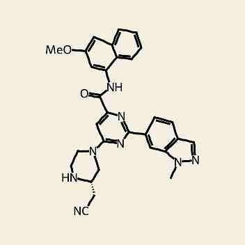 COc1cc(NC(=O)c2cc(N3CCN[C@@H](CC#N)C3)nc(-c3ccc4cnn(C)c4c3)n2)c2ccccc2c1